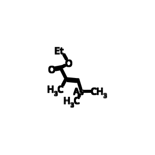 CCOC(=O)C(C)=C[As](C)C